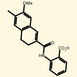 COc1cc2c(cc1C)CCC(C(=O)Nc1ccccc1C(=O)O)=C2